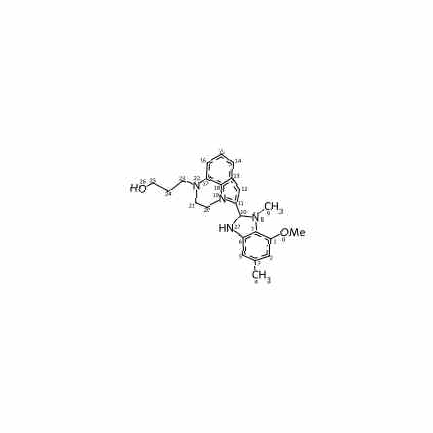 COc1cc(C)cc2c1N(C)C(c1cc3cccc4c3n1CCN4CCCO)N2